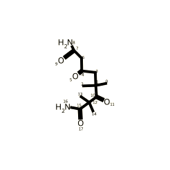 CC(C)(CC(=O)CC(N)=O)C(=O)C(C)(C)C(N)=O